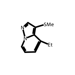 CCc1cccn2ncc(SC)c12